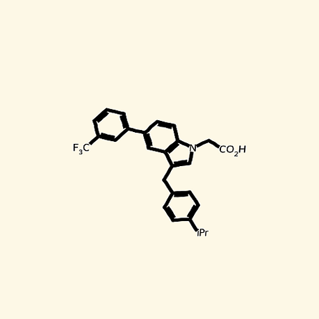 CC(C)c1ccc(Cc2cn(CC(=O)O)c3ccc(-c4cccc(C(F)(F)F)c4)cc23)cc1